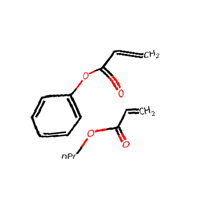 C=CC(=O)OCCC.C=CC(=O)Oc1ccccc1